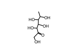 CC(O)C(O)C(O)C(O)C(=O)CO